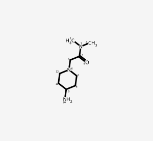 CN(C)C(=O)CN1CCC(N)CC1